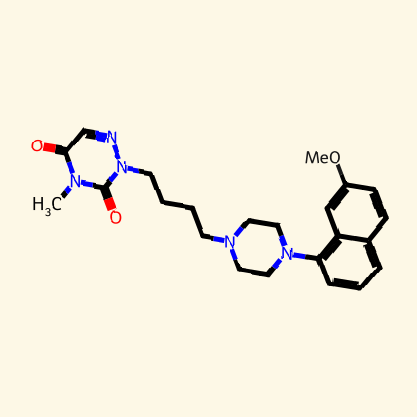 Cn1c(=O)cnn(CCCCN2CCN(c3cccc4ccc(O[11CH3])cc34)CC2)c1=O